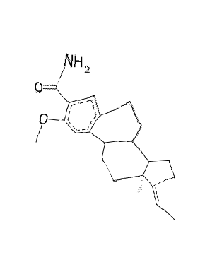 CC=C1CCC2C3CCc4cc(C(N)=O)c(OC)cc4C3CC[C@]12C